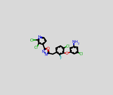 Nc1cc(Cl)cc(Oc2c(Cl)ccc(Cc3nnc(-c4ccnc(Cl)c4Cl)o3)c2F)c1